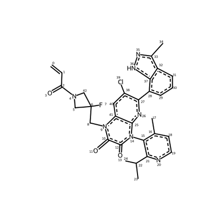 C=CC(=O)N1CC(F)(Cn2c(=O)c(=O)n(-c3c(C)ccnc3C(C)C)c3nc(-c4cccc5c(C)n[nH]c45)c(Cl)cc32)C1